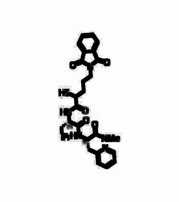 CNC(=O)[C@H](Cc1ccccn1)NC(=O)[C@H](CC(C)C)NC(=O)C(S)CCCN1C(=O)c2ccccc2C1=O